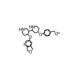 COCc1ccc(OC2CCNC(C3CNCCC3Oc3cnc4c(c3)COC4)C2)cc1